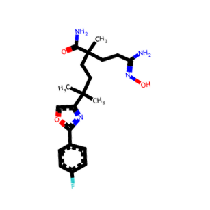 CC(CCC(N)=NO)(CCC(C)(C)c1coc(-c2ccc(F)cc2)n1)C(N)=O